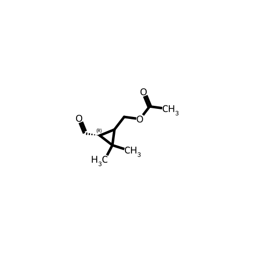 CC(=O)OCC1[C@@H](C=O)C1(C)C